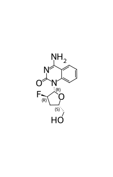 Nc1nc(=O)n([C@@H]2O[C@H](CO)C[C@H]2F)c2ccccc12